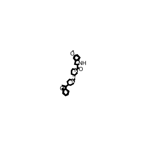 COc1ccc2c(c1)CC(C(=O)N1CCC[C@@H](CN3CCC(c4coc5ccccc45)CC3)C1)N2